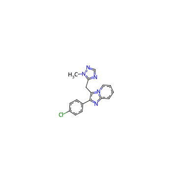 Cn1ncnc1Cc1c(-c2ccc(Cl)cc2)nc2ccccn12